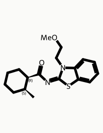 COCCn1c(=NC(=O)[C@@H]2CCCC[C@@H]2C)sc2ccccc21